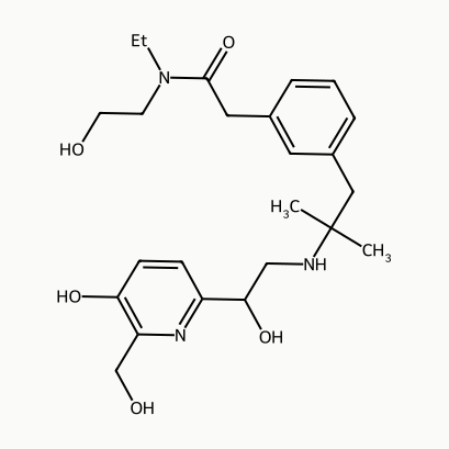 CCN(CCO)C(=O)Cc1cccc(CC(C)(C)NCC(O)c2ccc(O)c(CO)n2)c1